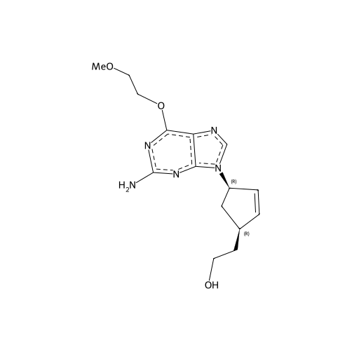 COCCOc1nc(N)nc2c1ncn2[C@H]1C=C[C@@H](CCO)C1